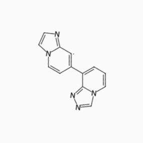 [c]1c(-c2cccn3cnnc23)ccn2ccnc12